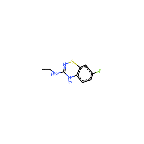 CCNC1=NSc2cc(F)ccc2N1